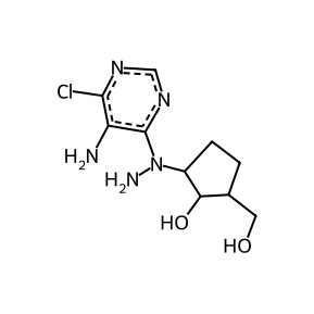 Nc1c(Cl)ncnc1N(N)C1CCC(CO)C1O